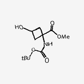 COC(=O)C1(NC(=O)OC(C)(C)C)CC(O)C1